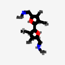 CCc1c(/C=N\OC(C)=O)oc(-c2oc(/C=N/OC(C)=O)c(CC)c2C)c1C